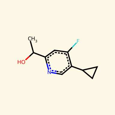 CC(O)c1cc(F)c(C2CC2)cn1